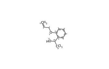 C=CCOc1ccccc1C(O)C(Cl)(Cl)Cl